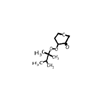 CC(C)C(C)(C)OOC1CCCCC1=O